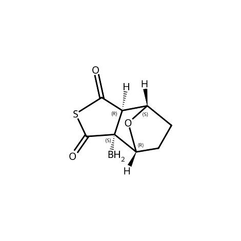 B[C@]12C(=O)SC(=O)[C@H]1[C@@H]1CC[C@H]2O1